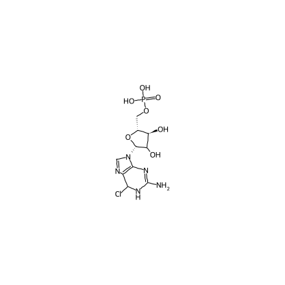 NC1=Nc2c(ncn2[C@@H]2O[C@H](COP(=O)(O)O)[C@@H](O)C2O)C(Cl)N1